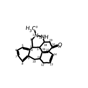 CN1CC2c3ccccc3CC3CC=CC4=C3C2C(CC4=O)N1